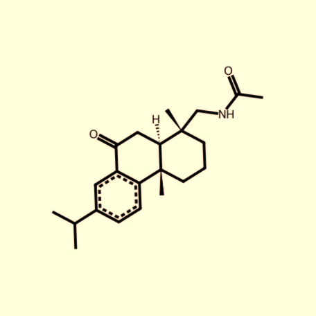 CC(=O)NC[C@]1(C)CCC[C@]2(C)c3ccc(C(C)C)cc3C(=O)C[C@@H]12